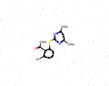 COC(=O)c1c(Sc2nc(OC)cc(OC)n2)cccc1C(C)=O